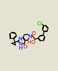 O=C(C(O)c1cccc(-c2cccc(Cl)c2)c1)N1CCc2nc(C3(c4ccccc4)CC3)[nH]c(=O)c2C1